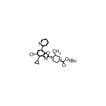 CC1CN(C(=O)OC(C)(C)C)CCN1c1nc2c(C3CC3)c(Cl)cc(-c3ccccn3)c2o1